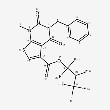 Cn1c(=O)n(Cc2ccccc2)c(=O)c2c(C(=O)OC(F)(F)C(F)C(F)(F)F)csc21